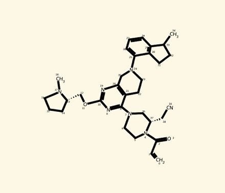 C=CC(=O)N1CCN(c2nc(OC[C@@H]3CCCN3C)nc3c2CCN(c2cccc4c2CCC4C)C3)C[C@@H]1CC#N